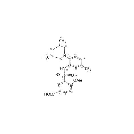 COc1ccc(C(=O)O)cc1S(=O)(=O)Nc1cc(C(F)(F)F)ccc1N1CC(C)CC(C)C1